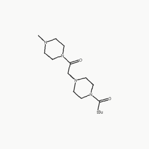 CN1CCN(C(=O)CN2CCN(C(=O)C(C)(C)C)CC2)CC1